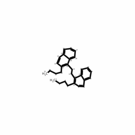 CCCCc1ccc2ccccc2c1CCc1c(CCCC)ccc2ccccc12